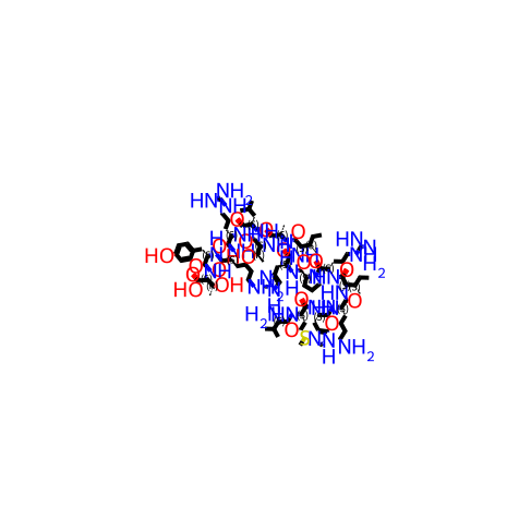 CC[C@H](C)[C@H](NC(=O)[C@H](Cc1c[nH]cn1)NC(=O)[C@@H]1CCCN1C(=O)[C@H](CCCNC(=N)N)NC(=O)[C@@H](NC(=O)[C@H](CCCCN)NC(=O)[C@H](Cc1c[nH]cn1)NC(=O)[C@H](CCSC)NC(=O)[C@@H](N)C(C)C)[C@@H](C)CC)C(=O)N[C@@H](C)C(=O)N[C@H](C(=O)N[C@@H](CC(C)C)C(=O)N[C@@H](CCCNC(=N)N)C(=O)N[C@@H](CCCCN)C(=O)N[C@@H](Cc1ccc(O)cc1)C(=O)N[C@H](C(=O)O)[C@@H](C)O)[C@@H](C)O